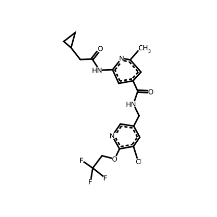 Cc1cc(C(=O)NCc2cnc(OCC(F)(F)F)c(Cl)c2)cc(NC(=O)CC2CC2)n1